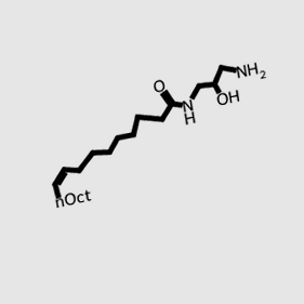 CCCCCCCC/C=C\CCCCCCCC(=O)NCC(O)CN